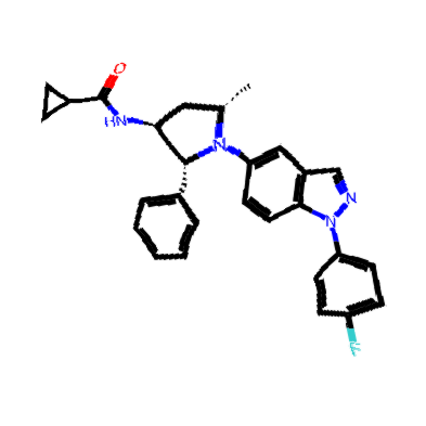 C[C@H]1C[C@H](NC(=O)C2CC2)[C@@H](c2ccccc2)N1c1ccc2c(cnn2-c2ccc(F)cc2)c1